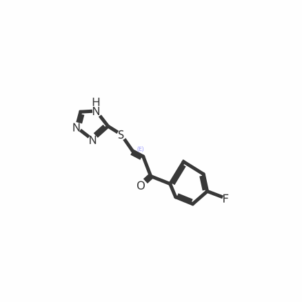 O=C(/C=C/Sc1nnc[nH]1)c1ccc(F)cc1